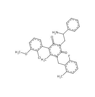 COc1cccc(-c2c(C)n(Cc3c(C)cccc3F)c(=O)n(CC(N)c3ccccc3)c2=O)c1Cl